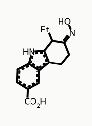 CCC1/C(=N\O)CCc2c1[nH]c1ccc(C(=O)O)cc21